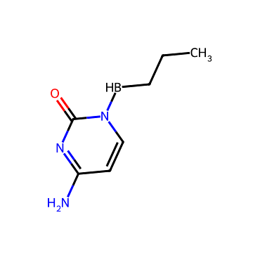 CCCBn1ccc(N)nc1=O